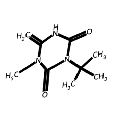 C=C1NC(=O)N(C(C)(C)C)C(=O)N1C